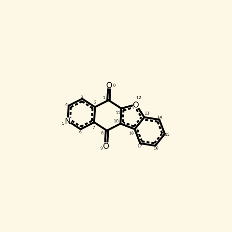 O=C1c2ccncc2C(=O)c2c1oc1ccccc21